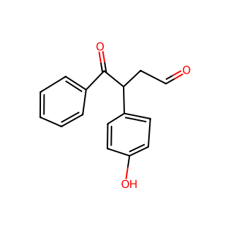 O=CCC(C(=O)c1ccccc1)c1ccc(O)cc1